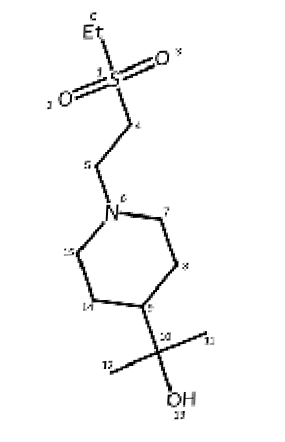 CCS(=O)(=O)CCN1CCC(C(C)(C)O)CC1